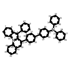 c1ccc(-c2c3ccccc3n3c2c(-c2ccc(-c4ccc(N(c5ccccc5)c5ccccc5)cc4)cc2)cc2ccccc23)cc1